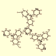 Cc1ccc2c(c1)c1cc(-c3nc(-c4ccc5c(c4)c4cc(C)ccc4n5-c4cccnc4)nc(-c4ccc5c(c4)c4cc(C)ccc4n5-c4cccnc4)n3)ccc1n2-c1cccnc1